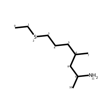 CCSCCCC(C)CC(C)N